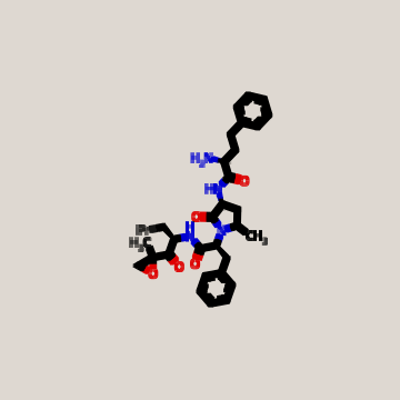 CC(C)C[C@@H](NC(=O)[C@H](Cc1ccccc1)N1C(=O)[C@@H](NC(=O)[C@@H](N)CCc2ccccc2)CC1C)C(=O)C1(C)CO1